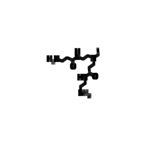 CCN(CCNC(=O)CCN)CCC(=O)NCCN